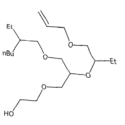 C=CCOCC(CC)OC(COCCO)COCC(CC)CCCC